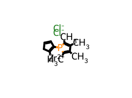 Cc1c(C)c(C)p(C2=[C]([Zr+2])CC=C2)c1C.[Cl-].[Cl-]